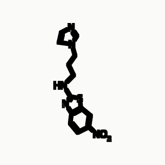 O=[N+]([O-])c1ccc2nc(NCCCn3ccnc3)sc2c1